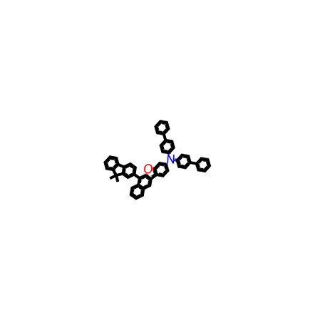 CC1(C)c2ccccc2-c2ccc(-c3c4ccccc4cc4c3oc3cc(N(c5ccc(-c6ccccc6)cc5)c5ccc(-c6ccccc6)cc5)ccc34)cc21